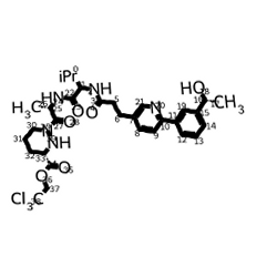 CC(C)C(NC(=O)CCc1ccc(-c2cccc([C@@H](C)O)c2)nc1)C(=O)N[C@@H](C)C(=O)N1CCC[C@@H](C(=O)OCC(Cl)(Cl)Cl)N1